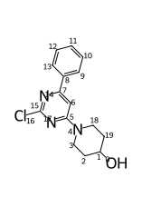 OC1CCN(c2cc(-c3ccccc3)nc(Cl)n2)CC1